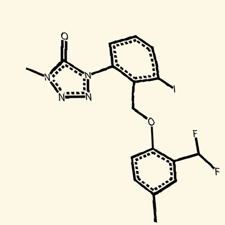 Cc1ccc(OCc2c(I)cccc2-n2nnn(C)c2=O)c(C(F)F)c1